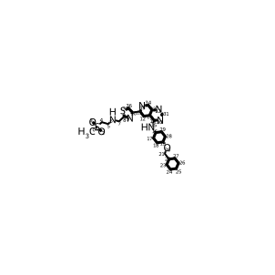 CS(=O)(=O)CCNCc1nc(-c2cc3c(Nc4ccc(OCc5ccccc5)cc4)ncnc3cn2)cs1